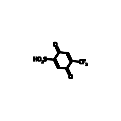 O=C1C=C(S(=O)(=O)O)C(=O)C=C1C(F)(F)F